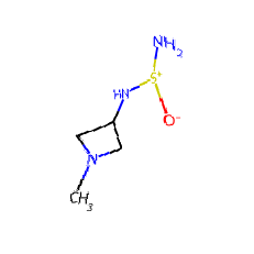 CN1CC(N[S+](N)[O-])C1